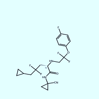 N#CC1(NC(=O)[C@H](CC(F)(F)CC2CC2)NCC(F)(F)Oc2ccc(F)cc2)CC1